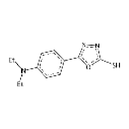 CCN(CC)c1ccc(-c2nnc(S)o2)cc1